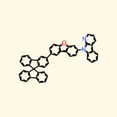 c1ccc2c(c1)-c1ccccc1C21c2ccccc2-c2cc(-c3ccc4oc5cc(-n6c7ccccc7c7cccnc76)ccc5c4c3)ccc21